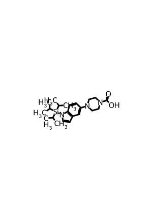 CC(C)[Si](C(C)C)(C(C)C)n1ccc2cc(N3CCN(C(=O)O)CC3)ccc21